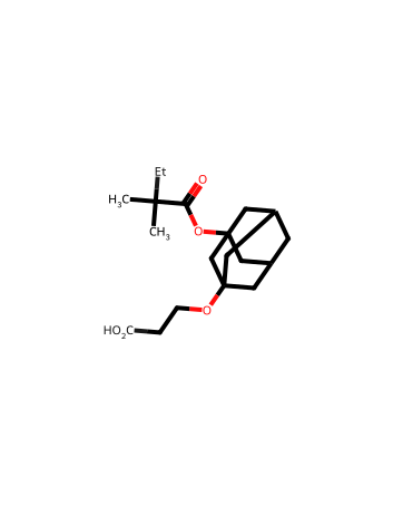 CCC(C)(C)C(=O)OC12CC3CC(CC(OCCC(=O)O)(C3)C1)C2